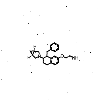 NCCOc1ccc2c(c1)C(Cc1ccccc1)C(N1C[C@H]3C[C@H]3C1)CC2